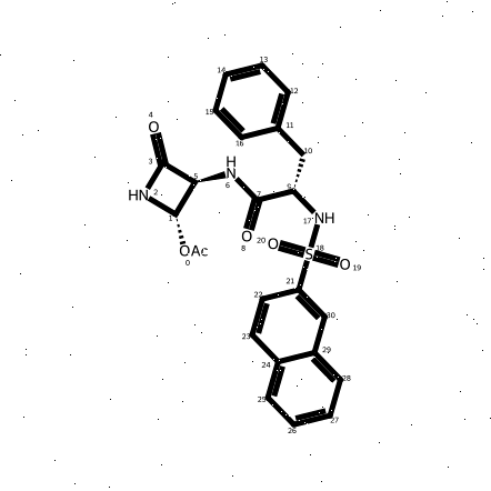 CC(=O)O[C@@H]1NC(=O)[C@H]1NC(=O)[C@H](Cc1ccccc1)NS(=O)(=O)c1ccc2ccccc2c1